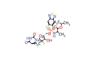 CC(C)OC(=O)[C@H](C)NP(=O)(OC[C@H]1O[C@@H](n2ccc(=O)[nH]c2=O)[C@](C)(F)C1O)Oc1cc2nsnc2cc1F